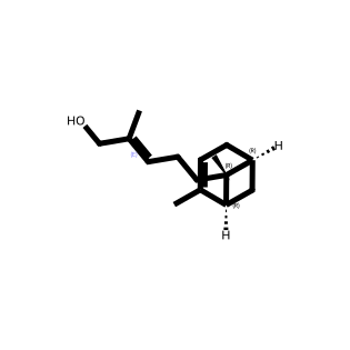 CC1=CC[C@H]2C[C@@H]1[C@]2(C)CC/C=C(\C)CO